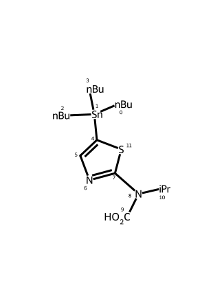 CCC[CH2][Sn]([CH2]CCC)([CH2]CCC)[c]1cnc(N(C(=O)O)C(C)C)s1